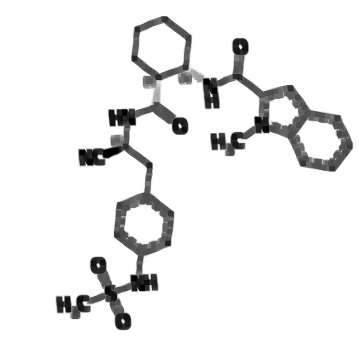 Cn1c(C(=O)N[C@H]2CCCC[C@H]2C(=O)N[C@H](C#N)Cc2ccc(NS(C)(=O)=O)cc2)cc2ccccc21